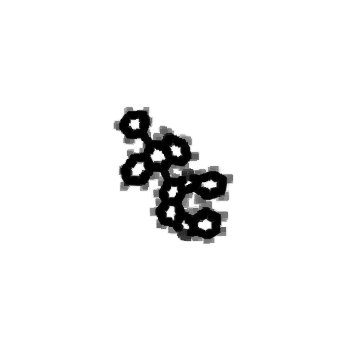 c1ccc(-c2c3ccccc3c(-c3cc4ccc5oc6ccccc6c5c4c4c3oc3ccccc34)c3ccccc23)cc1